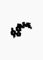 CONC(=O)Oc1cnn2ccc(N3CCC[C@@H]3c3cc(F)ccc3F)nc12